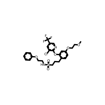 COCCOc1ccc(CCCS(=O)(=O)NCCOc2ccccc2)c(Oc2ncc(C(F)(F)F)cc2Cl)c1